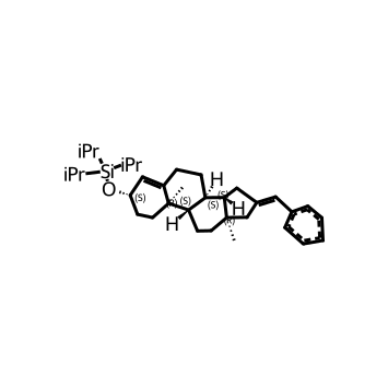 CC(C)[Si](O[C@@H]1C=C2CC[C@H]3[C@@H]4CC(=Cc5ccccc5)C[C@@]4(C)CC[C@@H]3[C@@]2(C)CC1)(C(C)C)C(C)C